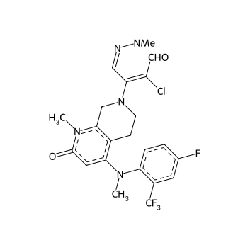 CN/N=C\C(=C(\Cl)C=O)N1CCc2c(N(C)c3ccc(F)cc3C(F)(F)F)cc(=O)n(C)c2C1